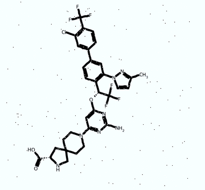 Cc1ccn(-c2cc(-c3ccc(C(F)(F)F)c(Cl)c3)ccc2[C@@H](Oc2cc(N3CCC4(CC3)CN[C@H](C(=O)O)C4)nc(N)n2)C(F)(F)F)n1